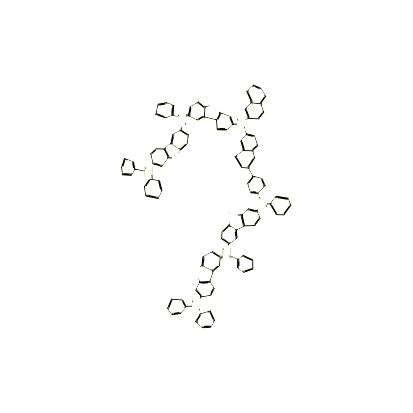 c1ccc(N(c2ccccc2)c2ccc3c(c2)sc2ccc(N(c4ccccc4)c4ccc5sc6cc(N(c7ccccc7)c7ccc(-c8ccc9cc(N(c%10ccc%11ccccc%11c%10)c%10ccc%11c(c%10)sc%10ccc(N(c%12ccccc%12)c%12ccc%13sc%14cc(N(c%15ccccc%15)c%15ccccc%15)ccc%14c%13c%12)cc%10%11)ccc9c8)cc7)ccc6c5c4)cc23)cc1